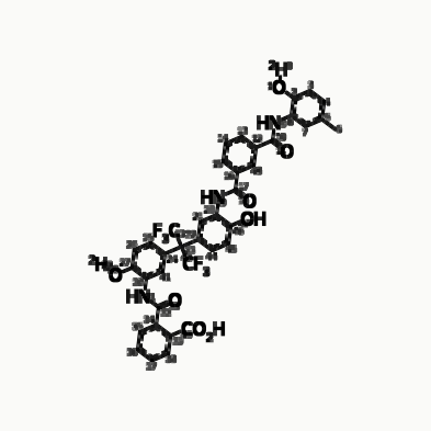 [2H]Oc1ccc(C)cc1NC(=O)c1cccc(C(=O)Nc2cc(C(c3ccc(O[2H])c(NC(=O)c4ccccc4C(=O)O)c3)(C(F)(F)F)C(F)(F)F)ccc2O)c1